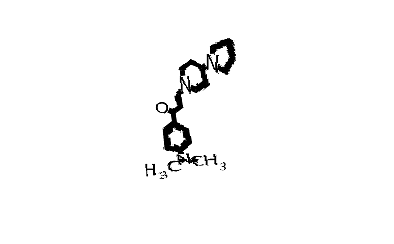 CN(C)c1ccc(C(=O)C=CN2CCC(N3CCCC3)CC2)cc1